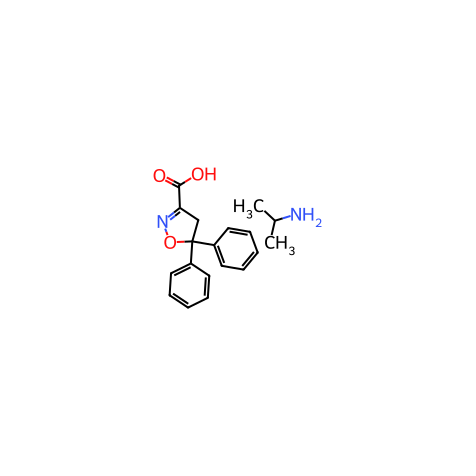 CC(C)N.O=C(O)C1=NOC(c2ccccc2)(c2ccccc2)C1